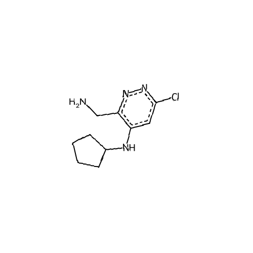 NCc1nnc(Cl)cc1NC1CCCC1